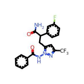 NC(=O)C(Cc1cc(C(F)(F)F)nn1NC(=O)c1ccccc1)c1cccc(F)c1